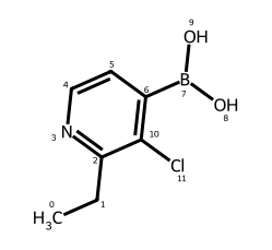 CCc1nccc(B(O)O)c1Cl